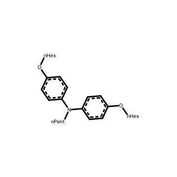 CCCCCCOc1ccc(N(CCCCC)c2ccc(OCCCCCC)cc2)cc1